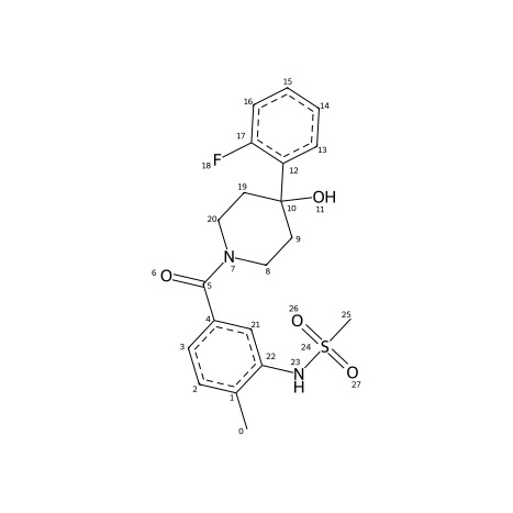 Cc1ccc(C(=O)N2CCC(O)(c3ccccc3F)CC2)cc1NS(C)(=O)=O